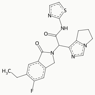 CCc1cc2c(cc1F)CN(C(C(=O)Nc1nccs1)c1ncn3c1CCC3)C2=O